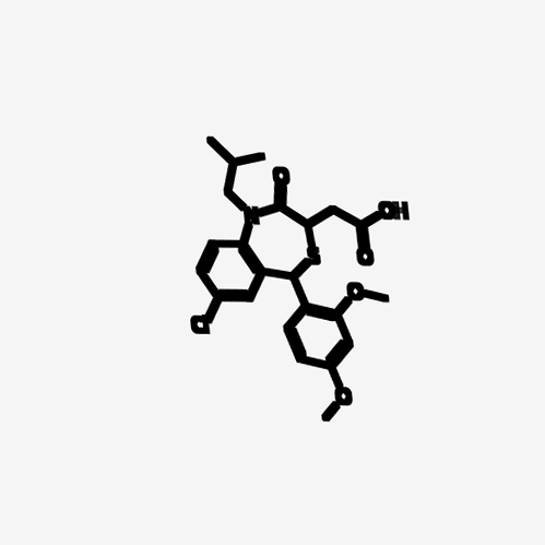 COc1ccc(C2SC(CC(=O)O)C(=O)N(CC(C)C)c3ccc(Cl)cc32)c(OC)c1